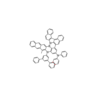 Cc1c2c(cc3cc4ccccc4cc13)B1c3c(cc(N(c4ccccc4)c4ccccc4)cc3N2c2cc(-c3ccccc3)cc(-c3ccccc3)c2)-c2cc3ccccc3c3c4c5ccccc5ccc4n1c23